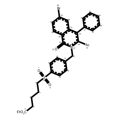 CCOC(=O)CCCCS(=O)(=O)c1ccc(Cn2c(C(C)=O)c(-c3ccccc3)c3cc(Br)ccc3c2=O)cc1